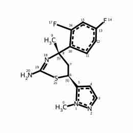 Cn1nccc1[C@@H]1C[C@@](C)(c2ccc(F)cc2F)N=C(N)S1